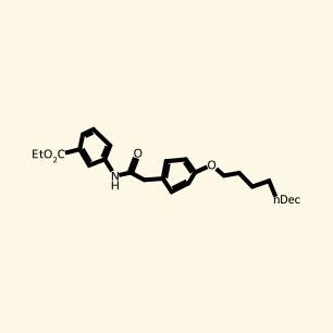 CCCCCCCCCCCCCCOc1ccc(CC(=O)Nc2cccc(C(=O)OCC)c2)cc1